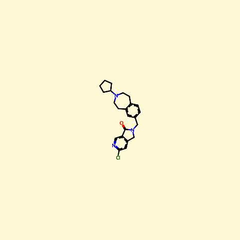 O=C1c2cnc(Cl)cc2CN1Cc1ccc2c(c1)CCN(C1CCCC1)CC2